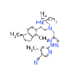 C=C1CCc2c1ccc(C1CN(Cc3cnn(-c4cc(C)c(C#N)cn4)n3)CC(C)(C)N1)c2C